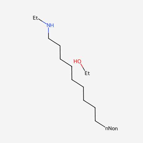 CCCCCCCCCCCCCCCCCCNCC.CCO